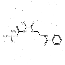 C[C@H](NC(=O)OC(C)(C)C)C(=O)NCCNC(=O)c1cccnc1